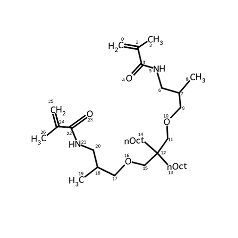 C=C(C)C(=O)NCC(C)COCC(CCCCCCCC)(CCCCCCCC)COCC(C)CNC(=O)C(=C)C